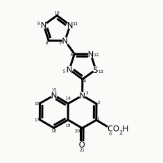 O=C(O)c1cn(-c2nc(-n3cncn3)ns2)c2ncccc2c1=O